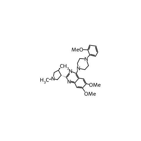 COc1cc2nc([C@@H]3CN(C)C[C@H]3C)nc(N3CCN(c4ccccc4OC)CC3)c2cc1OC